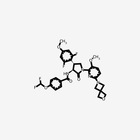 COc1cc(F)c([C@@H]2CN(c3nc(N4CC5(COC5)C4)ccc3OC)C(=O)[C@H]2NC(=O)c2ccc(OC(F)F)cc2)c(F)c1